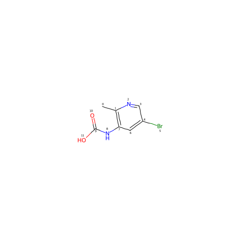 Cc1ncc(Br)cc1NC(=O)O